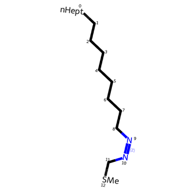 CCCCCCCCCCCCCCC/N=N\CSC